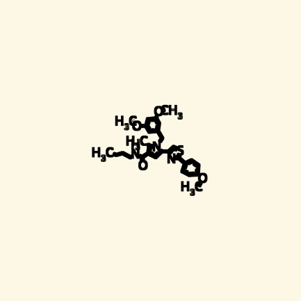 CCCCNC(=O)c1cc(-c2csc(-c3ccc(OC)cc3)n2)n(Cc2cc(OC)cc(OC)c2)c1C